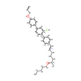 C=CCOc1ccc(-c2ccc(-c3ccc(/C=C/CCCC(C)OCCCCC)cc3)c(F)c2)cc1